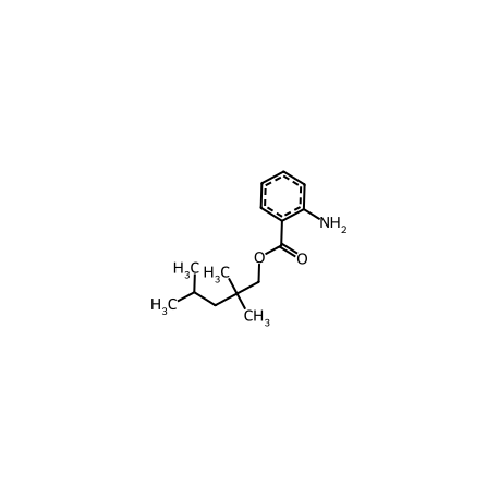 CC(C)CC(C)(C)COC(=O)c1ccccc1N